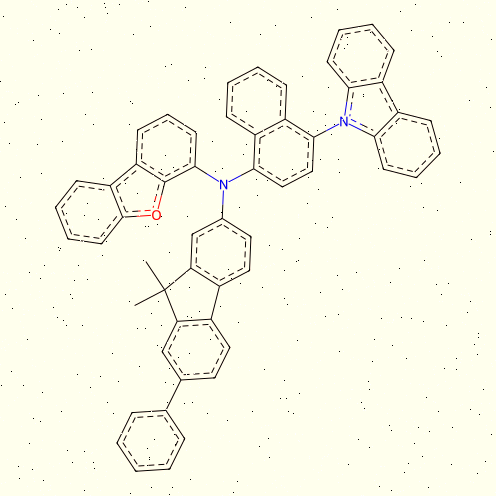 CC1(C)c2cc(-c3ccccc3)ccc2-c2ccc(N(c3ccc(-n4c5ccccc5c5ccccc54)c4ccccc34)c3cccc4c3oc3ccccc34)cc21